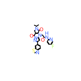 CC(C)N1Cc2c(n(CC(=O)Nc3ccc(F)cn3)c3cc(-c4ccc5ncsc5c4)nn3c2=O)C1=O